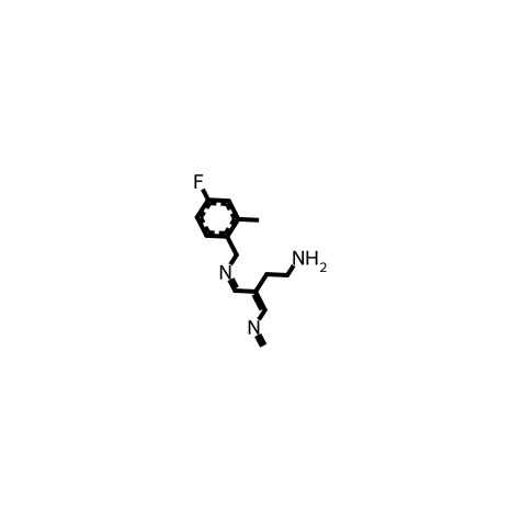 C=N/C=C(\C=N/Cc1ccc(F)cc1C)CCN